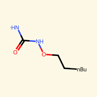 CCCCCCONC([NH])=O